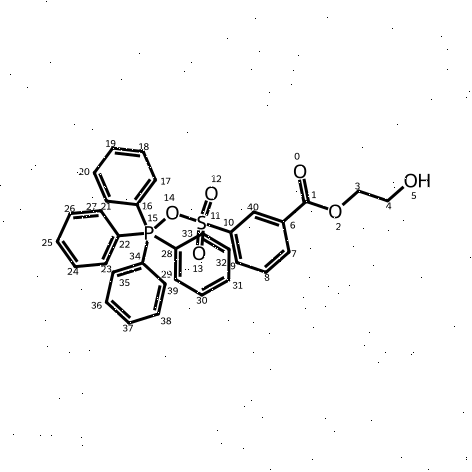 O=C(OCCO)c1cccc(S(=O)(=O)OP(c2ccccc2)(c2ccccc2)(c2ccccc2)c2ccccc2)c1